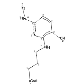 CCCCCCCCCCCCNc1nc(NCC)ccc1C#N